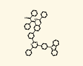 N=C(/C(=C1\NC(c2ccccc2)=Cc2ccc(-c3cccc(-c4nc(-c5ccccc5)cc(-c5ccc(-n6c7ccccc7c7ccccc76)cc5)n4)c3)cc21)c1ccccc1)c1ccccc1